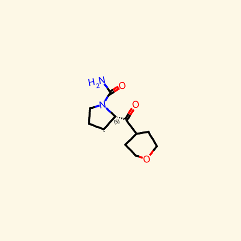 NC(=O)N1CC[CH][C@H]1C(=O)C1CCOCC1